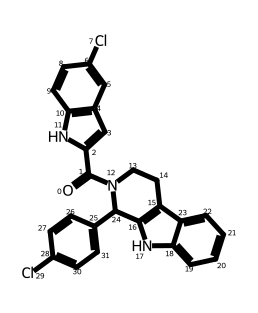 O=C(c1cc2cc(Cl)ccc2[nH]1)N1CCc2c([nH]c3ccccc23)C1c1ccc(Cl)cc1